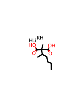 CCCCC(C)C(C)(C(=O)O)C(=O)O.[KH].[LiH]